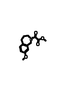 COC(=O)C(=O)N1CCCc2ccc(OC)cc2C1